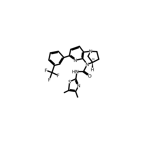 Cc1nc(NC(=O)N2c3nc(-c4cccc(C(F)(F)F)c4)ccc3N3CC[C@H]2C3)sc1C